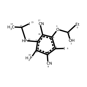 CCC(O)Oc1c(I)c(C#N)c(P)c(PC(C)I)c1C#N